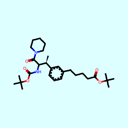 C[C@@H](c1cccc(CCCCC(=O)OC(C)(C)C)c1)C(NC(=O)OC(C)(C)C)C(=O)N1CCCCC1